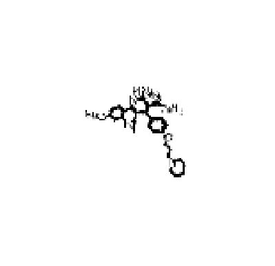 N#Cc1c(-c2ccc(O)cc2F)nc2[nH]nc(N)c2c1-c1ccc(OCCCN2CCCCC2)cc1